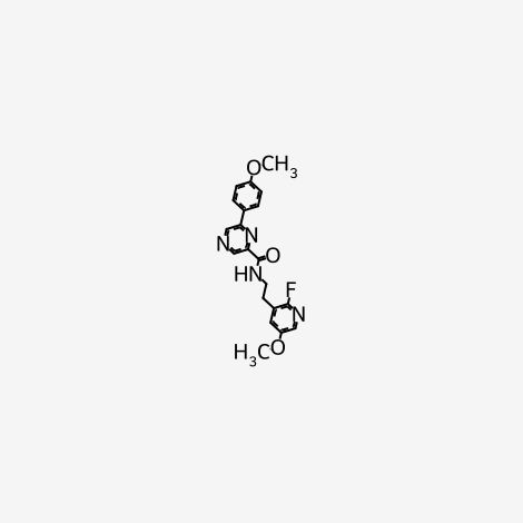 COc1ccc(-c2cncc(C(=O)NCCc3cc(OC)cnc3F)n2)cc1